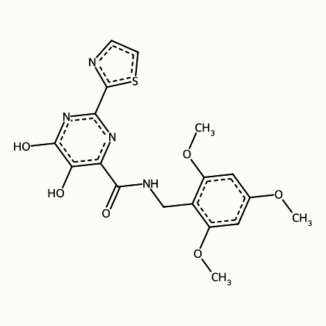 COc1cc(OC)c(CNC(=O)c2nc(-c3nccs3)nc(O)c2O)c(OC)c1